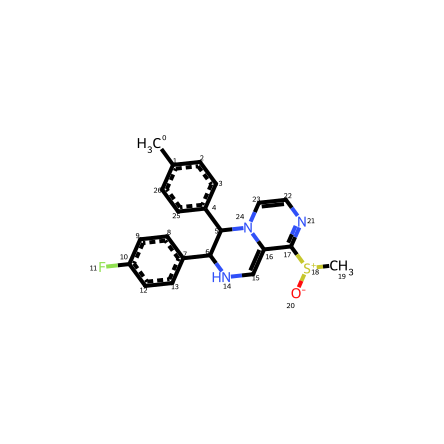 Cc1ccc(C2C(c3ccc(F)cc3)NC=C3C([S+](C)[O-])=NC=CN32)cc1